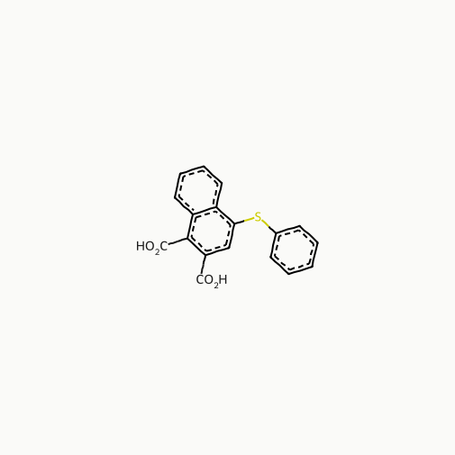 O=C(O)c1cc(Sc2ccccc2)c2ccccc2c1C(=O)O